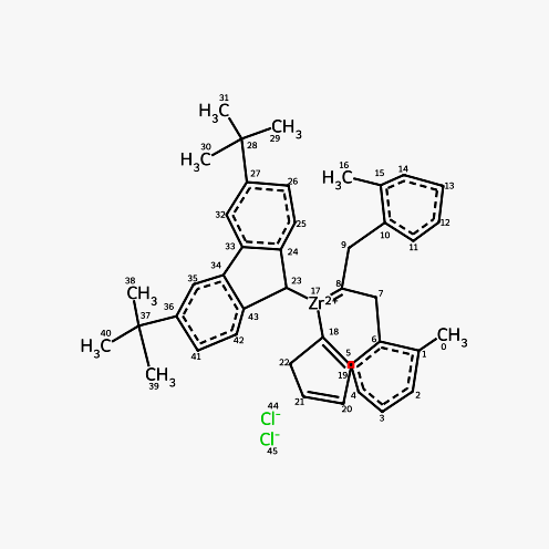 Cc1ccccc1C[C](Cc1ccccc1C)=[Zr+2]([C]1=CC=CC1)[CH]1c2ccc(C(C)(C)C)cc2-c2cc(C(C)(C)C)ccc21.[Cl-].[Cl-]